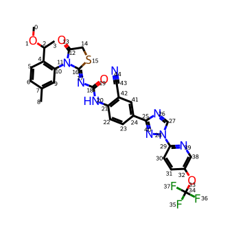 COC(C)c1ccc(C)cc1N1C(=O)CS/C1=N\C(=O)Nc1ccc(-c2ncn(-c3ccc(OC(F)(F)F)cn3)n2)cc1C#N